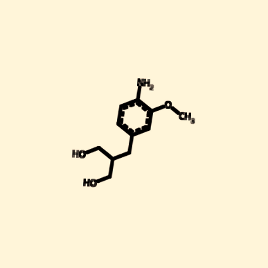 COc1cc(CC(CO)CO)ccc1N